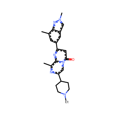 CCN1CCC(c2cn3c(=O)cc(-c4cc(C)c5nn(C)cc5c4)nc3c(C)n2)CC1